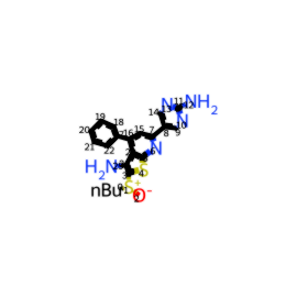 CCCC[S+]([O-])c1sc2nc(-c3cnc(N)nc3)cc(-c3ccccc3)c2c1N